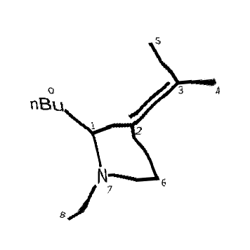 CCCCC1C(=C(C)C)CN1C